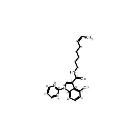 C/C=C\CCCCCNC(=O)c1cn(-c2ncccn2)c2cccc(Cl)c12